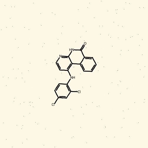 O=c1[nH]c2nccc(Nc3ccc(Cl)cc3Cl)c2c2ccccc12